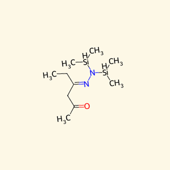 CCC(CC(C)=O)=NN([SiH](C)C)[SiH](C)C